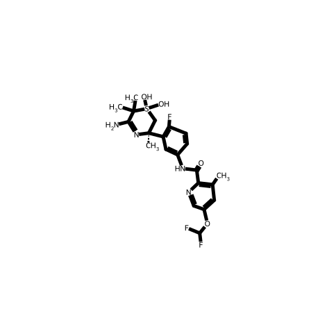 Cc1cc(OC(F)F)cnc1C(=O)Nc1ccc(F)c([C@]2(C)CS(O)(O)C(C)(C)C(N)=N2)c1